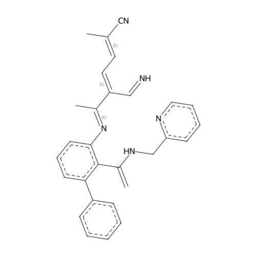 C=C(NCc1ccccn1)c1c(/N=C(C)/C(C=N)=C/C=C(\C)C#N)cccc1-c1ccccc1